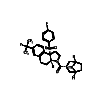 O=C([C@H]1C[C@H]2CC[C@@H](C1)N2)N1CC[C@]2(S(=O)(=O)c3ccc(F)cc3)c3ccc(C(F)(C(F)(F)F)C(F)(F)F)cc3CC[C@H]12